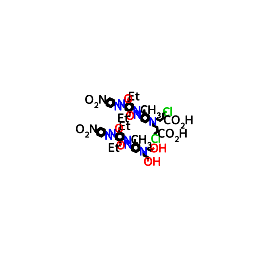 CCOc1cc(N=Nc2ccc(N(CCC(CCl)C(=O)O)CCC(CCl)C(=O)O)cc2C)c(OCC)cc1N=Nc1ccc([N+](=O)[O-])cc1.CCOc1cc(N=Nc2ccc(N(CCO)CCO)cc2C)c(OCC)cc1N=Nc1ccc([N+](=O)[O-])cc1